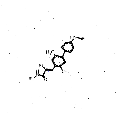 CC/C(=C\c1cc(C)c(-c2ccc(NC(C)C)cc2)cc1C)C(=O)NC(C)C